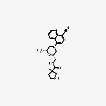 C[C@@H]1CN(c2cnc(C#N)c3ncccc23)C[C@H](CNC(=O)[C@@]2(F)CCNC2)O1